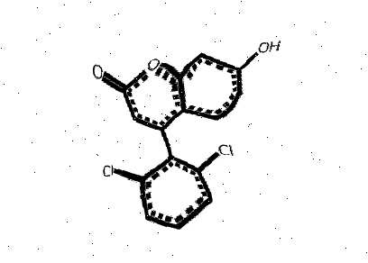 O=c1cc(-c2c(Cl)cccc2Cl)c2ccc(O)cc2o1